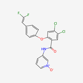 O=C(Nc1ccc[n+]([O-])c1)c1cc(Cl)c(Cl)cc1Oc1ccc(C=C(F)F)cc1